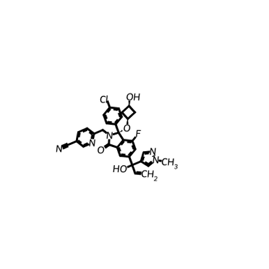 C=CC(O)(c1cc(F)c2c(c1)C(=O)N(Cc1ccc(C#N)cn1)[C@@]2(O[C@H]1C[C@@H](O)C1)c1ccc(Cl)cc1)c1cnn(C)c1